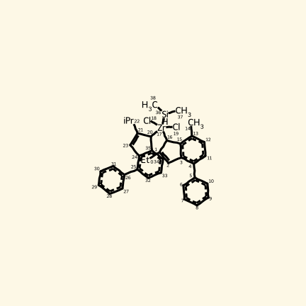 CCC1=Cc2c(-c3ccccc3)ccc(C)c2[CH]1[Zr]([Cl])([Cl])([CH]1C(C(C)C)=Cc2c(-c3ccccc3)cccc21)[SiH](C)C